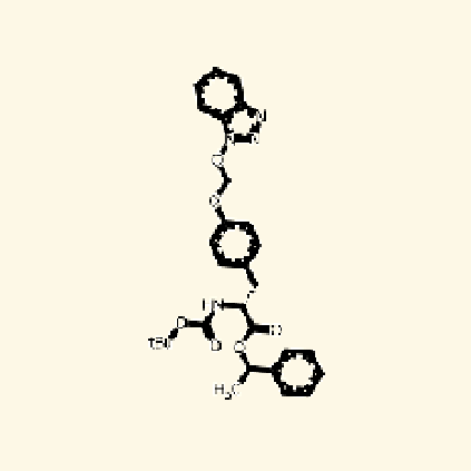 CC(OC(=O)[C@@H](Cc1ccc(OCOn2nnc3ccccc32)cc1)NC(=O)OC(C)(C)C)c1ccccc1